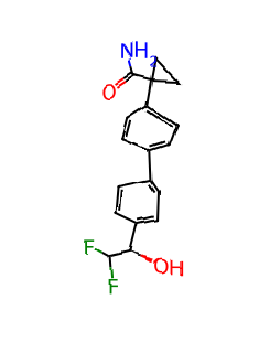 NC(=O)C1(c2ccc(-c3ccc([C@@H](O)C(F)F)cc3)cc2)CC1